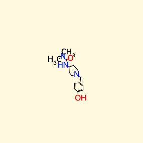 CN(C)C(=O)NC1CCN(Cc2ccc(O)cc2)CC1